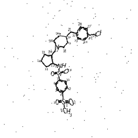 CS(=O)(=O)c1ccc(S(=O)(=O)NC2CCCC2N2CCC(Cc3ccc(Cl)cc3)CC2)cc1